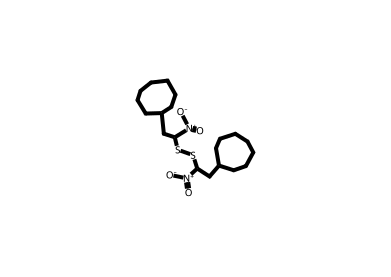 O=[N+]([O-])C(CC1CCCCCCC1)SSC(CC1CCCCCCC1)[N+](=O)[O-]